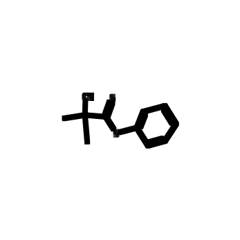 CC(C)(C#N)C(=S)Sc1ccccc1